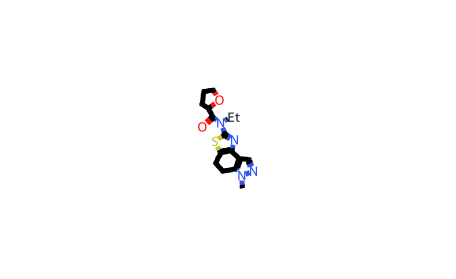 CCN(C(=O)C1CCCO1)c1nc2c(s1)CCc1c-2cnn1C